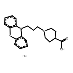 Cl.O=C(O)C1CCN(CCCN2c3ccccc3Sc3ccccc32)CC1